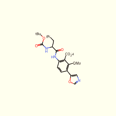 COc1c(-c2cnco2)ccc(NC(=O)C(CC(C)C)NC(=O)OC(C)(C)C)c1C(=O)O